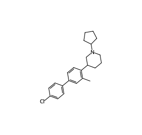 Cc1cc(-c2ccc(Cl)cc2)ccc1C1CCCN(C2CCCC2)C1